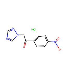 Cl.O=C(Cn1cncn1)c1ccc([N+](=O)[O-])cc1